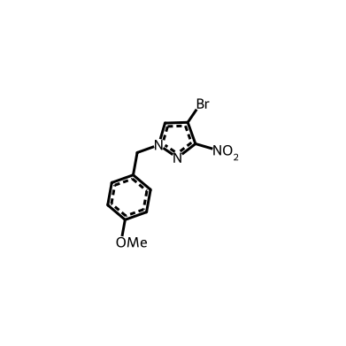 COc1ccc(Cn2cc(Br)c([N+](=O)[O-])n2)cc1